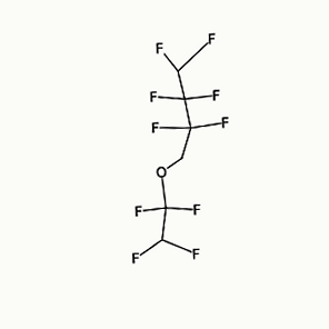 FC(F)C(F)(F)OCC(F)(F)C(F)(F)C(F)F